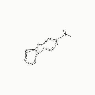 CNc1ccc2c(c1)oc1ccccc12